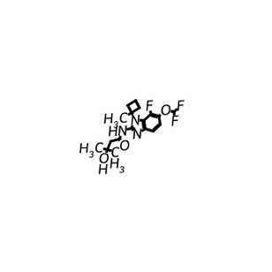 CC(C)(O)CC(=O)Nc1nc2ccc(OC(F)F)c(F)c2n1C1(C)CCC1